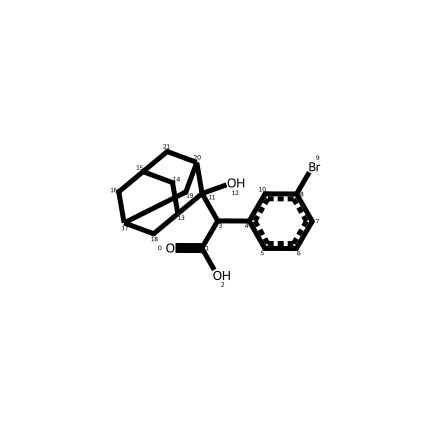 O=C(O)C(c1cccc(Br)c1)C1(O)C2CC3CC(C2)CC1C3